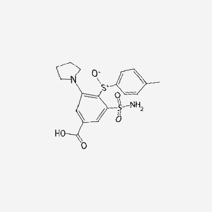 Cc1ccc([S+]([O-])c2c(N3CCCC3)cc(C(=O)O)cc2S(N)(=O)=O)cc1